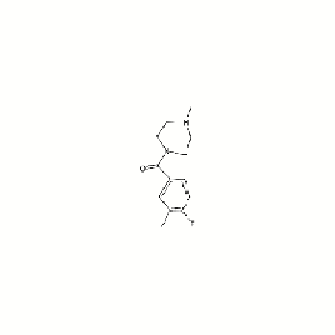 Cc1cc(C(=O)N2CCN(C)CC2)ccc1F